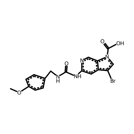 COc1ccc(CNC(=O)Nc2cc3c(Br)cn(C(=O)O)c3cn2)cc1